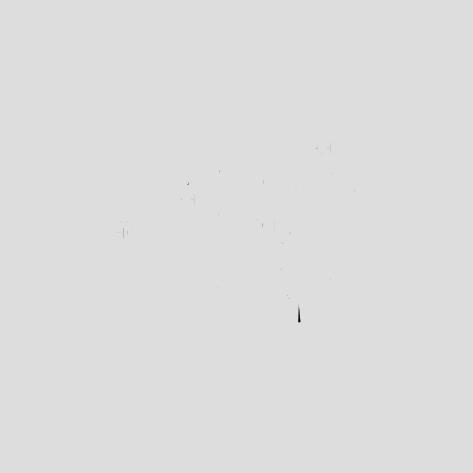 C[C@H](Cc1ccc(O)c(OP(=O)(O)O)c1)[C@@H](C)Cc1ccc(O)c(O)c1